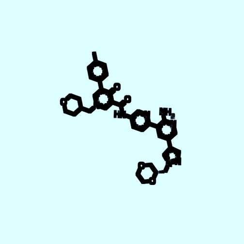 Cc1ccc(-c2cn(CC3CCOCC3)cc(C(=O)Nc3ccc(-c4cc(-c5cnn(C[C@H]6COCCO6)c5)cnc4N)nc3)c2=O)cc1